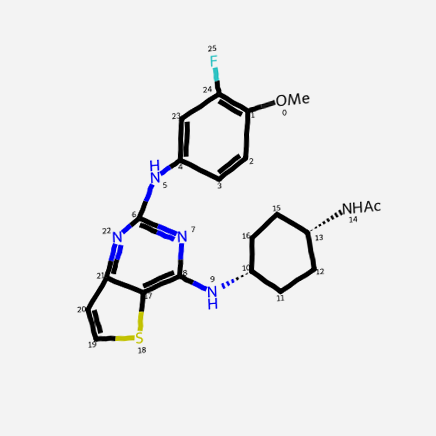 COc1ccc(Nc2nc(N[C@H]3CC[C@@H](NC(C)=O)CC3)c3sccc3n2)cc1F